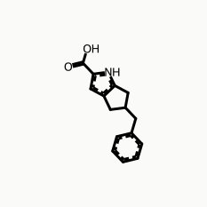 O=C(O)c1cc2c([nH]1)CC(Cc1ccccc1)C2